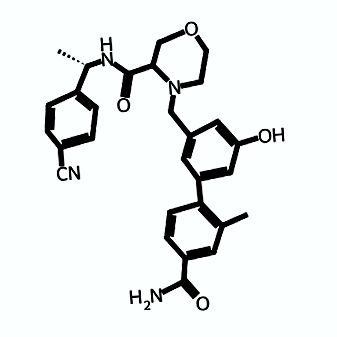 Cc1cc(C(N)=O)ccc1-c1cc(O)cc(CN2CCOCC2C(=O)N[C@@H](C)c2ccc(C#N)cc2)c1